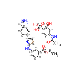 CC(=O)Nc1ccc([As](=O)(O)O)c(O)c1.CCOC(=O)c1cccc(Nc2nc(-c3ccc(CN)cc3)cs2)c1